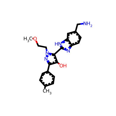 COCCn1nc(-c2ccc(C)cc2)c(O)c1-c1nc2ccc(CN)cc2[nH]1